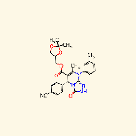 CC1=C(C(=O)OCC2COC(C)(C)O2)[C@@H](c2ccc(C#N)cc2)n2c(n[nH]c2=O)N1c1cccc(C(F)(F)F)c1